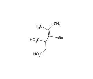 CCCCC(=C(C)C)C(CC(=O)O)C(=O)O